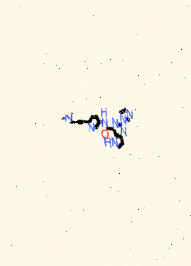 CN(C)CC#Cc1ccc(NC(=O)c2nc(-n3ccnc3)nc3cc[nH]c23)cn1